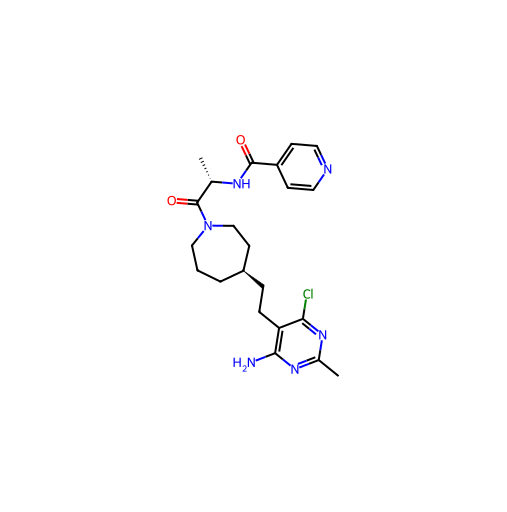 Cc1nc(N)c(CC[C@H]2CCCN(C(=O)[C@H](C)NC(=O)c3ccncc3)CC2)c(Cl)n1